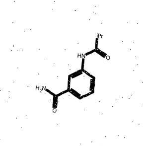 CC(C)C(=O)Nc1cccc(C(N)=O)c1